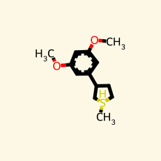 COc1cc(OC)cc(C2CC[SH](C)C2)c1